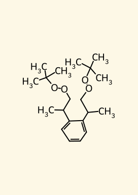 CC(COOC(C)(C)C)c1ccccc1C(C)COOC(C)(C)C